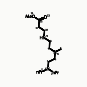 CCCN(CCC)CCN(C)CCNCCC(=O)OC